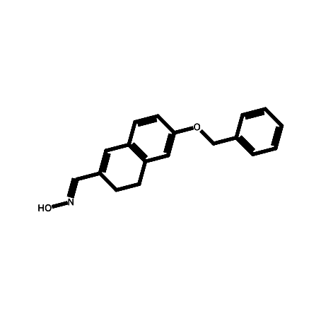 O/N=C/C1=Cc2ccc(OCc3ccccc3)cc2CC1